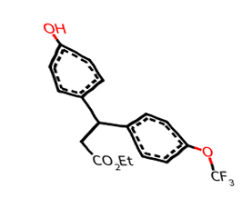 CCOC(=O)CC(c1ccc(O)cc1)c1ccc(OC(F)(F)F)cc1